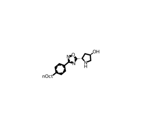 CCCCCCCCc1ccc(-c2noc([C@@H]3C[C@@H](O)CN3)n2)cc1